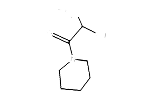 CCOC(=O)C(C)C(=O)N1CC[CH]CC1